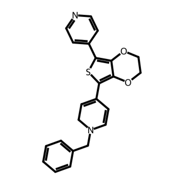 C1=CN(Cc2ccccc2)CC=C1c1sc(-c2ccncc2)c2c1OCCO2